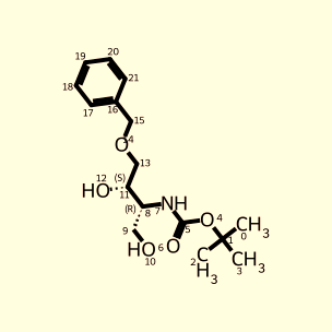 CC(C)(C)OC(=O)N[C@H](CO)[C@H](O)COCc1ccccc1